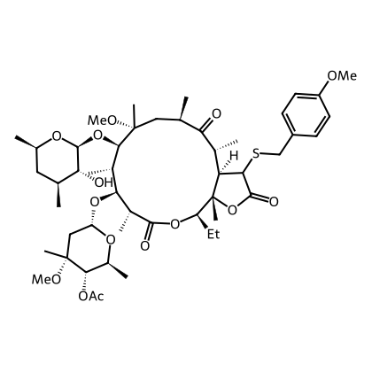 CC[C@H]1OC(=O)[C@H](C)[C@@H](O[C@H]2C[C@@](C)(OC)[C@@H](OC(C)=O)[C@H](C)O2)[C@H](C)[C@@H](O[C@@H]2O[C@H](C)C[C@H](C)[C@H]2O)[C@](C)(OC)C[C@@H](C)C(=O)[C@H](C)[C@H]2C(SCc3ccc(OC)cc3)C(=O)O[C@@]21C